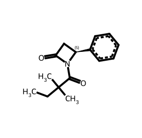 CCC(C)(C)C(=O)N1C(=O)C[C@H]1c1ccccc1